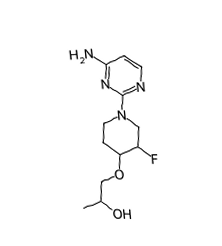 CC(O)COC1CCN(c2nccc(N)n2)CC1F